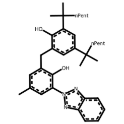 CCCCCC(C)(C)c1cc(Cc2cc(C)cc(-n3nc4ccccc4n3)c2O)c(O)c(C(C)(C)CCCCC)c1